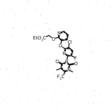 CCOC(=O)COc1ncccc1Oc1nc(-n2c(=O)c(C)c(C(F)(F)F)n(C)c2=O)c(F)cc1Cl